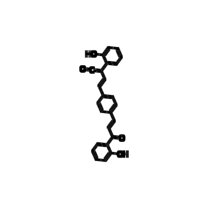 O=C=C(C=Cc1ccc(C=CC(=O)c2ccccc2O)cc1)c1ccccc1O